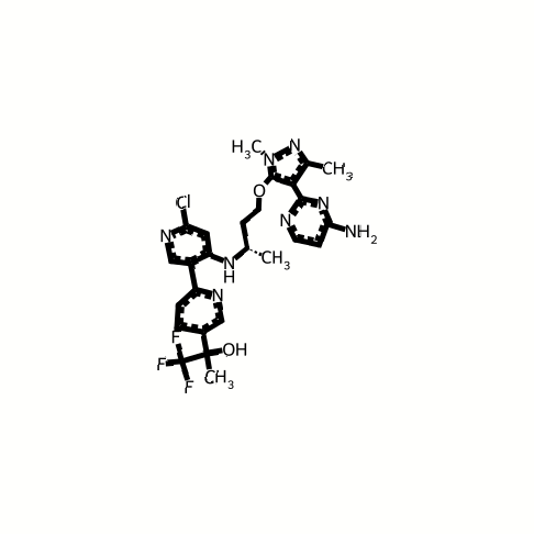 Cc1nn(C)c(OCC[C@H](C)Nc2cc(Cl)ncc2-c2ccc(C(C)(O)C(F)(F)F)cn2)c1-c1nccc(N)n1